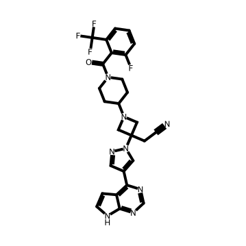 N#CCC1(n2cc(-c3ncnc4[nH]ccc34)cn2)CN(C2CCN(C(=O)c3c(F)cccc3C(F)(F)F)CC2)C1